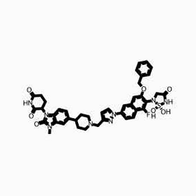 Cn1c(=O)n(C2CCC(=O)NC2=O)c2ccc(C3CCN(Cc4ccn(-c5ccc6c(F)c(N7CC(=O)NS7(O)O)c(OCc7ccccc7)cc6c5)n4)CC3)cc21